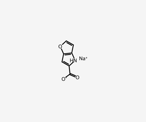 O=C([O-])c1cc2occc2[nH]1.[Na+]